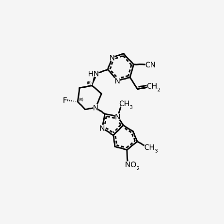 C=Cc1nc(N[C@@H]2C[C@@H](F)CN(c3nc4cc([N+](=O)[O-])c(C)cc4n3C)C2)ncc1C#N